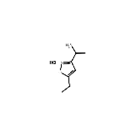 CCc1cc(C(C)N)no1.Cl